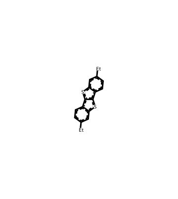 CCc1ccc2c(c1)sc1c3ccc(CC)cc3sc21